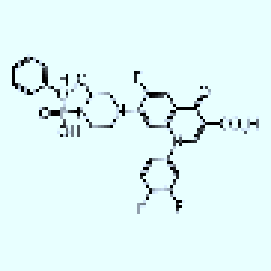 CC1CN(c2cc3c(cc2F)c(=O)c(C(=O)O)cn3-c2ccc(F)c(F)c2)CCN1P(=O)(O)Oc1ccccc1